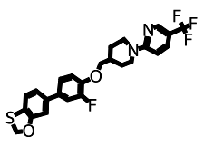 Fc1cc(-c2ccc3c(c2)OCS3)ccc1OCC1CCN(c2ccc(C(F)(F)F)cn2)CC1